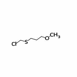 COCCCSCCl